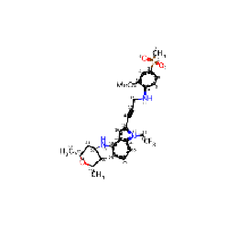 COc1cc(S(C)(=O)=O)ccc1NCC#Cc1cc2c(N[C@H]3C[C@@H](C)O[C@@H](C)C3)cccc2n1CC(F)(F)F